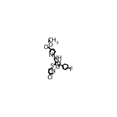 CCOC(=O)c1ccc(NCc2nc(C3=CC=C(F)CC3)oc2Sc2ccc(Cl)cn2)nc1